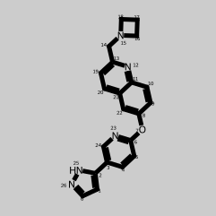 c1cc(-c2ccc(Oc3ccc4nc(CN5CCC5)ccc4c3)nc2)[nH]n1